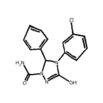 NC(=O)N1N=C(O)N(c2cccc(Cl)c2)C1c1ccccc1